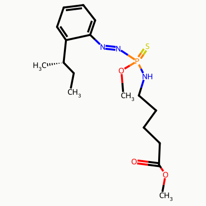 CC[C@H](C)c1ccccc1N=NP(=S)(NCCCCC(=O)OC)OC